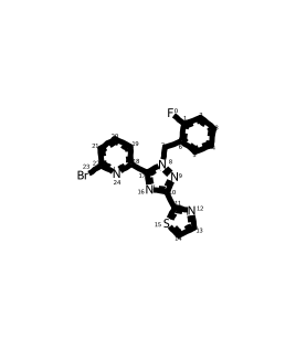 Fc1ccccc1Cn1nc(-c2nccs2)nc1-c1cccc(Br)n1